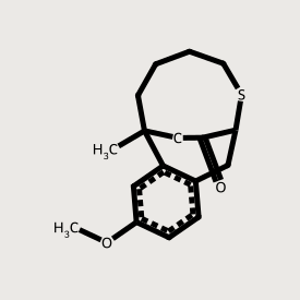 COc1ccc2c(c1)C1(C)CCCCSC(C2)C(=O)C1